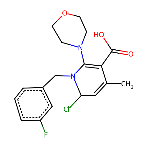 CC1=CC(Cl)N(Cc2cccc(F)c2)C(N2CCOCC2)=C1C(=O)O